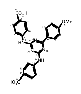 COc1ccc(-c2nc(Nc3ccc(C(=O)O)cc3)nc(Nc3ccc(C(=O)O)cc3)n2)cc1